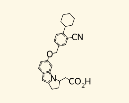 N#Cc1cc(COc2ccc3cc4n(c3c2)C(CC(=O)O)CC4)ccc1C1CCCCC1